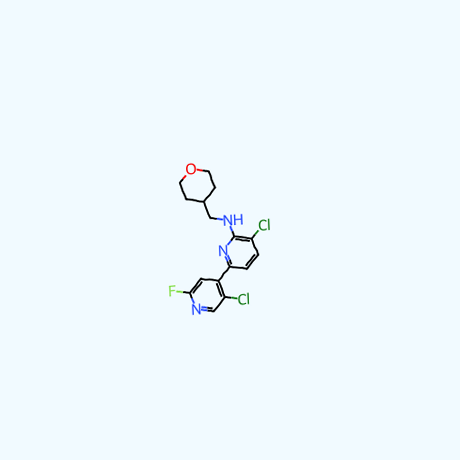 Fc1cc(-c2ccc(Cl)c(NCC3CCOCC3)n2)c(Cl)cn1